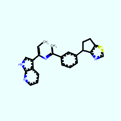 C/C=C(\N=C(/C)c1cccc(C2CCc3scnc32)c1)c1c[nH]c2ncccc12